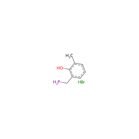 Br.Cc1cccc(CP)c1O